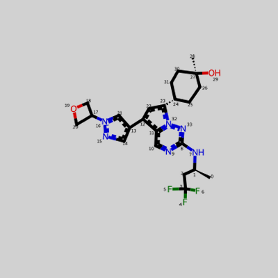 C[C@@H](CC(F)(F)F)Nc1ncc2c(-c3cnn(C4COC4)c3)cc([C@H]3CC[C@](C)(O)CC3)n2n1